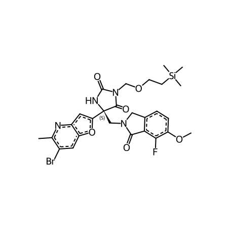 COc1ccc2c(c1F)C(=O)N(C[C@@]1(c3cc4nc(C)c(Br)cc4o3)NC(=O)N(COCC[Si](C)(C)C)C1=O)C2